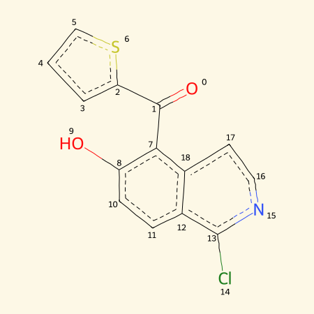 O=C(c1cccs1)c1c(O)ccc2c(Cl)nccc12